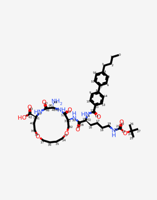 CCCCc1ccc(-c2ccc(C(=O)N[C@@H](CCCCNC(=O)OC(C)(C)C)C(=O)N[C@H]3COCCCCOCC[C@@H](C(=O)O)NC(=O)[C@H](N)NC3=O)cc2)cc1